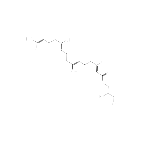 CC(C)=CCCC(C)=CCCC(C)=CCCC(C)=CC(=O)OCC(O)CO